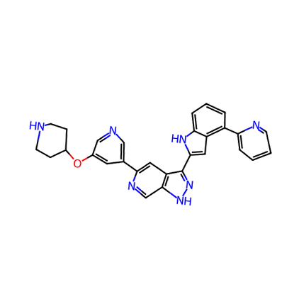 c1ccc(-c2cccc3[nH]c(-c4n[nH]c5cnc(-c6cncc(OC7CCNCC7)c6)cc45)cc23)nc1